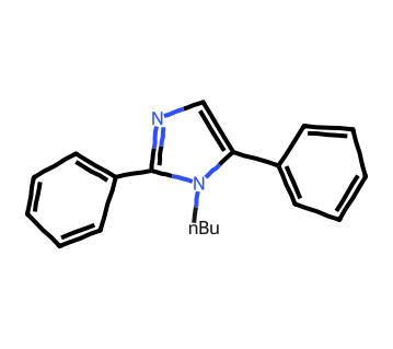 CCCCn1c(-c2ccccc2)cnc1-c1ccccc1